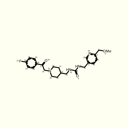 COCc1ccc(CNC(=O)NCC2CCN(CC(=O)c3ccc(F)cc3)CC2)cn1